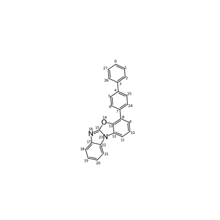 c1ccc(-c2ccc(-c3cccc4c3oc3nc5ccccc5n34)cc2)cc1